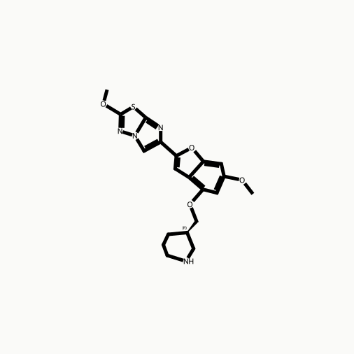 COc1cc(OC[C@@H]2CCCNC2)c2cc(-c3cn4nc(OC)sc4n3)oc2c1